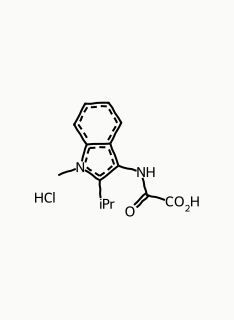 CC(C)c1c(NC(=O)C(=O)O)c2ccccc2n1C.Cl